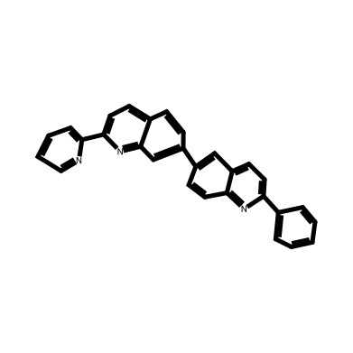 c1ccc(-c2ccc3cc(-c4ccc5ccc(-c6ccccn6)nc5c4)ccc3n2)cc1